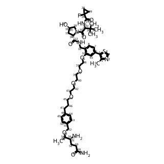 Cc1ncsc1-c1ccc(CNC(=O)[C@@H]2C[C@@H](O)CN2C(=O)[C@@H](NC(=O)C2(F)CC2)C(C)(C)C)c(OCCOCCOCCOCCCc2ccc(CO[C@H](C)[C@@H](N)CCC(N)=O)cc2)c1